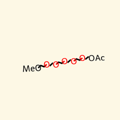 COCCOCCOCCOCCOCCOCCOC(C)=O